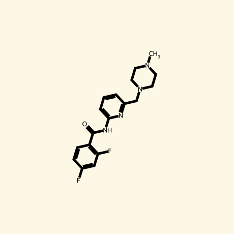 CN1CCN(Cc2cccc(NC(=O)c3ccc(F)cc3F)n2)CC1